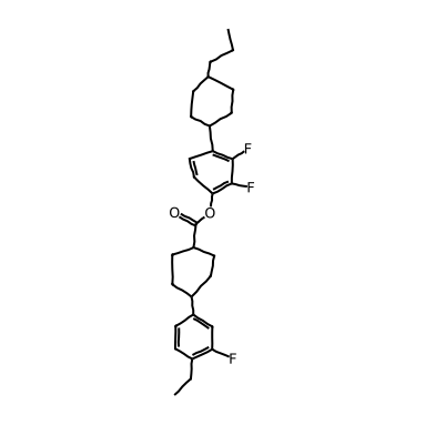 CCCC1CCC(c2ccc(OC(=O)C3CCC(c4ccc(CC)c(F)c4)CC3)c(F)c2F)CC1